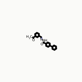 CC(=O)c1cccc(/C=N/NC(=O)c2ccc(-c3ccccc3)cc2)c1